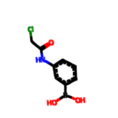 O=C(CCl)Nc1cccc(B(O)O)c1